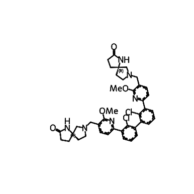 COc1nc(-c2cccc(-c3cccc(-c4ccc(CN5CC[C@]6(CCC(=O)N6)C5)c(OC)n4)c3Cl)c2Cl)ccc1CN1CC[C@]2(CCC(=O)N2)C1